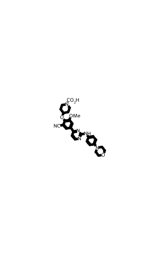 COc1cc(-c2ccnc(Nc3ccc(N4CCOCC4)cc3)n2)cc(C#N)c1OC1CCN(C(=O)O)CC1